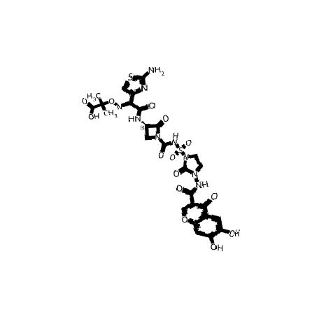 CC(C)(ON=C(C(=O)N[C@H]1CN(C(=O)NS(=O)(=O)N2CCN(NC(=O)c3coc4cc(O)c(O)cc4c3=O)C2=O)C1=O)c1csc(N)n1)C(=O)O